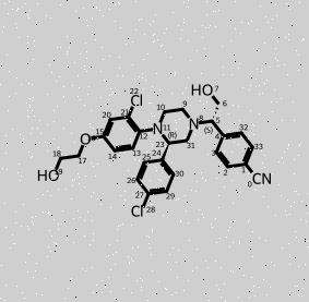 N#Cc1ccc([C@@H](CO)N2CCN(c3ccc(OCCO)cc3Cl)[C@H](c3ccc(Cl)cc3)C2)cc1